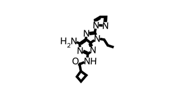 CCCn1c(-n2cccn2)nc2c(N)nc(NC(=O)C3CCC3)nc21